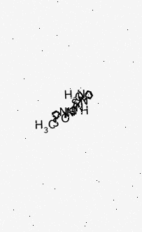 CSc1cccc(NC(=O)N2CCc3nc(C(=O)Nc4ccccc4N)sc3C2)c1